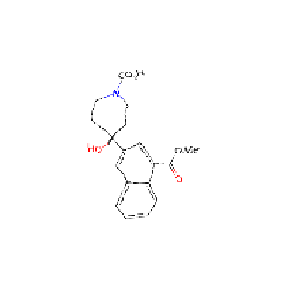 COC(=O)c1cc(C2(O)CCN(C(=O)O)CC2)cc2ccccc12